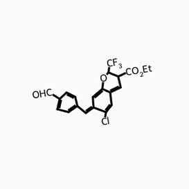 CCOC(=O)C1C=c2cc(Cl)c(=Cc3ccc(C=O)cc3)cc2OC1C(F)(F)F